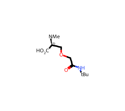 CN[C@@H](COCC(=O)NC(C)(C)C)C(=O)O